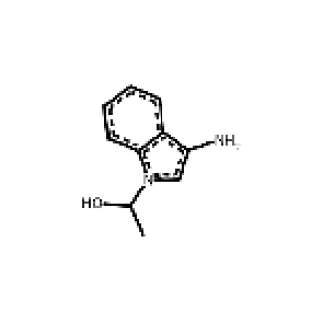 CC(O)n1cc(N)c2ccccc21